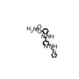 NC(=O)Oc1cccc2[nH]c(-c3ccnc(NCCN4CCCC4)c3)nc12